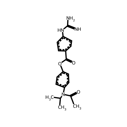 CC(=O)N(c1ccc(OC(=O)c2ccc(NC(=N)N)cc2)cc1)C(C)C